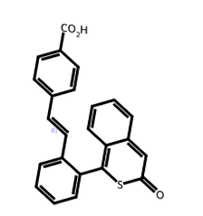 O=C(O)c1ccc(/C=C/c2ccccc2-c2sc(=O)cc3ccccc23)cc1